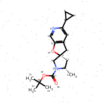 C[C@H]1C[C@]2(Cc3cc(C4CC4)ncc3O2)CN1C(=O)OC(C)(C)C